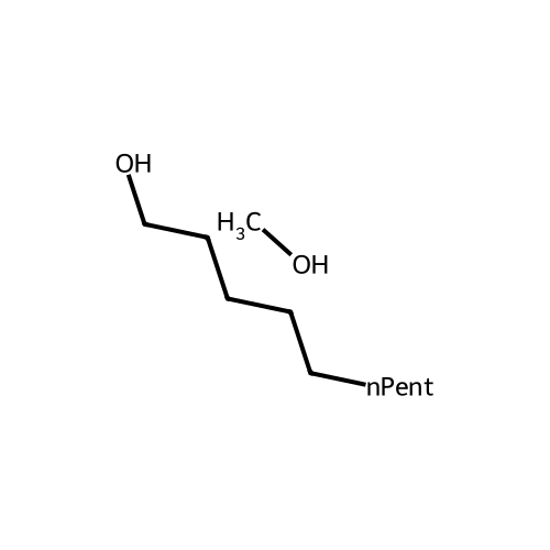 CCCCCCCCCCO.CO